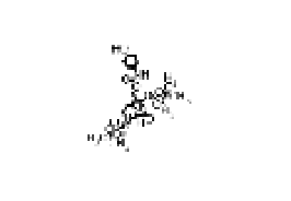 CC(C)(C)OC(=O)OC1=C(COC(=O)Nc2ccc(O)cc2)C2CCN(OC(=O)OC(C)(C)C)[C@@H]3C(=O)N1[C@H]23